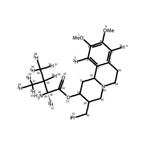 [2H]c1c2c(c([2H])c(OC)c1OC)C1CC(OC(=O)[C@@]([2H])(N)C([2H])(C([2H])([2H])[2H])C([2H])([2H])[2H])C(CC(C)C)CN1CC2